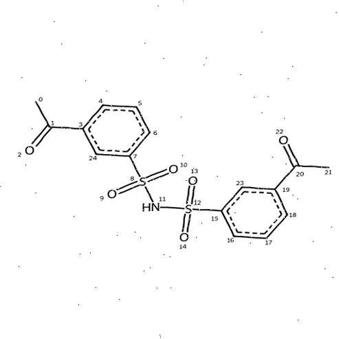 CC(=O)c1cccc(S(=O)(=O)NS(=O)(=O)c2cccc(C(C)=O)c2)c1